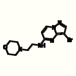 Brc1cnn2ccc(NCCN3CCOCC3)nc12